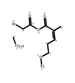 CC(=O)O.CCOCCC=C(C)C(=O)OC(=O)CC(C)=O